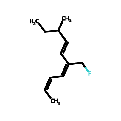 C\C=C/C=C(\C=C\C(C)CC)CF